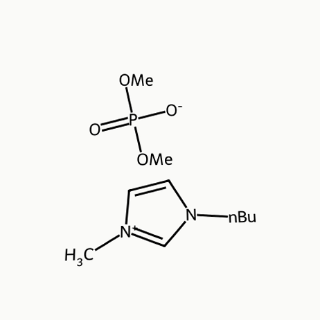 CCCCn1cc[n+](C)c1.COP(=O)([O-])OC